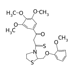 COc1ccccc1OCC1SCCN1C(=S)CC(=O)c1cc(OC)c(OC)c(OC)c1